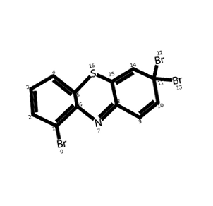 Brc1cccc2c1N=C1C=CC(Br)(Br)C=C1S2